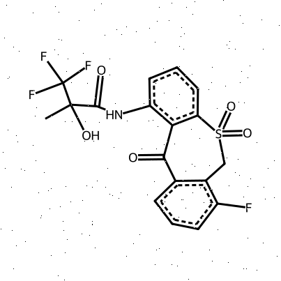 CC(O)(C(=O)Nc1cccc2c1C(=O)c1cccc(F)c1CS2(=O)=O)C(F)(F)F